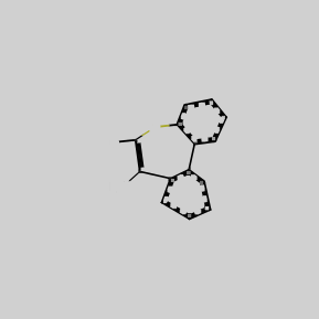 CC1=C(C)c2ccccc2-c2ccccc2S1